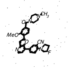 COc1cc(C(=O)N2CCN(C)CC2)ccc1-c1cc2nccc(-c3ccc(N4CC[C@H](F)C4)c(C#N)c3)c2o1